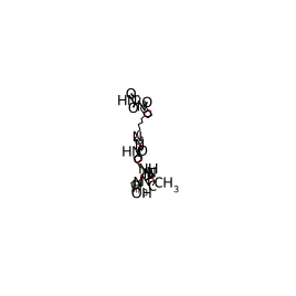 CC(C)c1cnn2c(NCc3ccc(NC(=O)N4CCN(CCCCCc5cccc6c5CN(C5CCC(=O)NC5=O)C6=O)CC4)cc3)cc(N3CCC[C@@H](O)C3)nc12